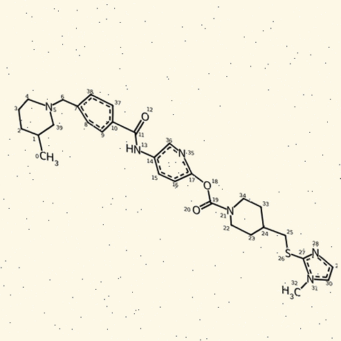 CC1CCCN(Cc2ccc(C(=O)Nc3ccc(OC(=O)N4CCC(CSc5nccn5C)CC4)nc3)cc2)C1